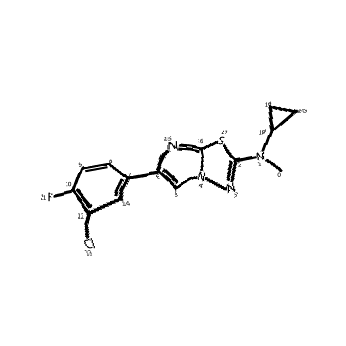 CN(c1nn2cc(-c3ccc(F)c(Cl)c3)nc2s1)C1CC1